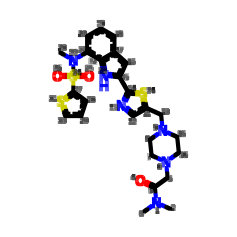 CN(C)C(=O)CN1CCN(Cc2cnc(-c3cc4cccc(N(C)S(=O)(=O)c5cccs5)c4[nH]3)s2)CC1